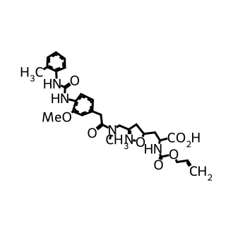 C=CCOC(=O)NC(CC1CC(CN(C)C(=O)Cc2ccc(NC(=O)Nc3ccccc3C)c(OC)c2)=NO1)C(=O)O